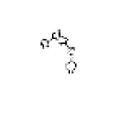 c1csc(-c2cnc3sc(NCCN4CCOCC4)nn23)c1